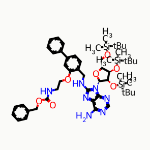 CC(C)(C)[Si](C)(C)OC[C@H]1O[C@@H](n2c(NCc3ccc(-c4ccccc4)cc3OCCNC(=O)OCc3ccccc3)nc3c(N)ncnc32)[C@H](O[Si](C)(C)C(C)(C)C)[C@@H]1O[Si](C)(C)C(C)(C)C